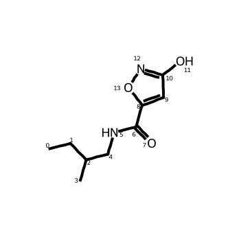 CCC(C)CNC(=O)c1cc(O)no1